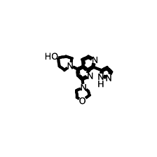 OC1CCN(c2cc(N3CCOCC3)nc3c(-c4ccn[nH]4)nccc23)CC1